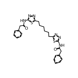 O=C(Cc1ccccc1)Nc1nnc(CCCCCCc2nnc(NC(=O)Cc3ccccc3)s2)s1